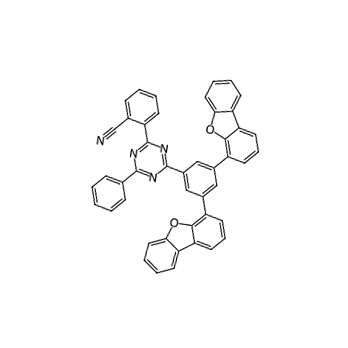 N#Cc1ccccc1-c1nc(-c2ccccc2)nc(-c2cc(-c3cccc4c3oc3ccccc34)cc(-c3cccc4c3oc3ccccc34)c2)n1